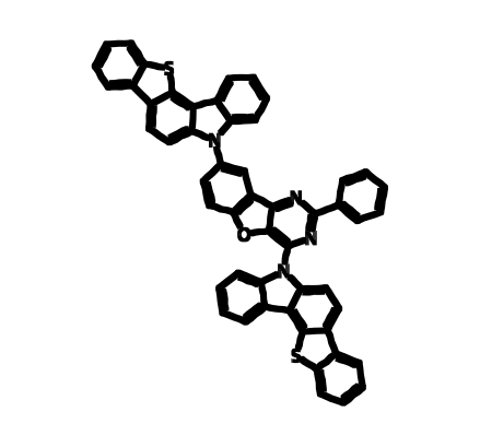 c1ccc(-c2nc(-n3c4ccccc4c4c5sc6ccccc6c5ccc43)c3oc4ccc(-n5c6ccccc6c6c7sc8ccccc8c7ccc65)cc4c3n2)cc1